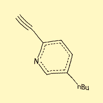 C#Cc1ccc(CCCC)cn1